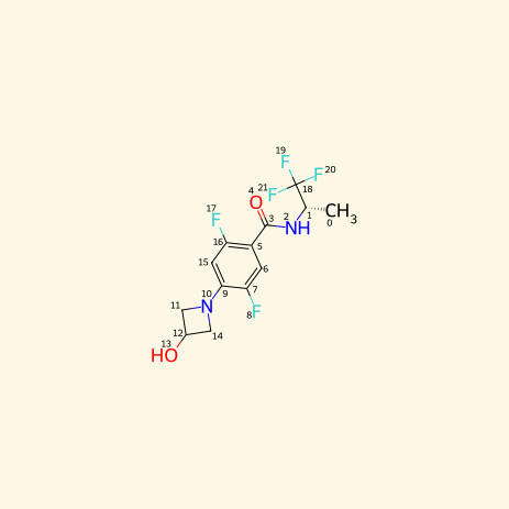 C[C@H](NC(=O)c1cc(F)c(N2CC(O)C2)cc1F)C(F)(F)F